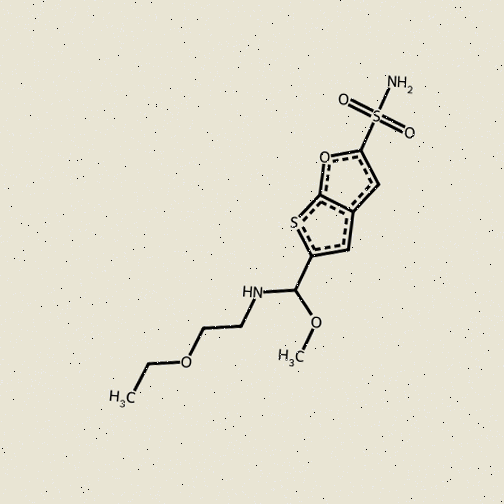 CCOCCNC(OC)c1cc2cc(S(N)(=O)=O)oc2s1